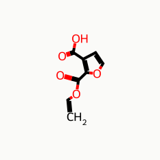 C=COC(=O)c1occc1C(=O)O